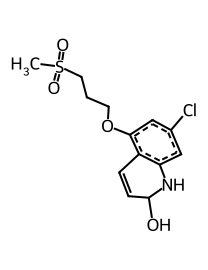 CS(=O)(=O)CCCOc1cc(Cl)cc2c1C=CC(O)N2